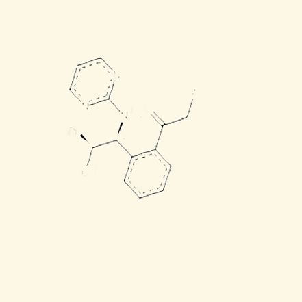 C=C(CC(C)=O)c1ccccc1[C@H](Nc1ncccn1)[C@@H](C)C(C)C